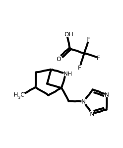 CC1CC2CC(Cn3cncn3)(C1)N2.O=C(O)C(F)(F)F